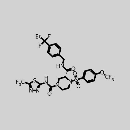 CCC(F)(F)c1ccc(CNC(=O)[C@H]2CN(C(=O)Nc3nnc(C(F)(F)F)s3)CCN2S(=O)(=O)c2ccc(OC(F)(F)F)cc2)cc1